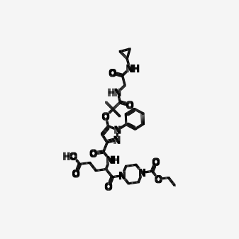 CCOC(=O)N1CCN(C(=O)C(CCC(=O)O)NC(=O)c2cc(OC(C)(C)C(=O)NCC(=O)NC3CC3)n(-c3ccccc3)n2)CC1